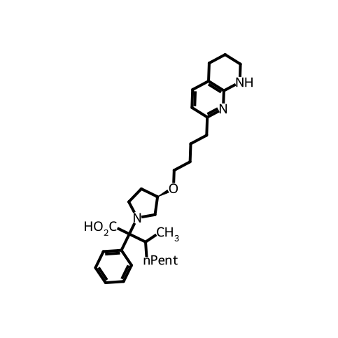 CCCCCC(C)C(C(=O)O)(c1ccccc1)N1CC[C@@H](OCCCCc2ccc3c(n2)NCCC3)C1